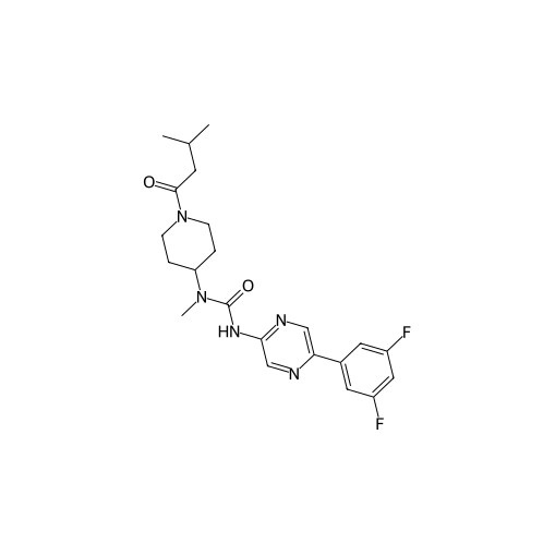 CC(C)CC(=O)N1CCC(N(C)C(=O)Nc2cnc(-c3cc(F)cc(F)c3)cn2)CC1